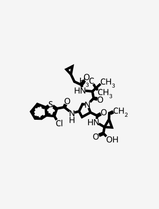 C=CC1CC1(NC(=O)C1CC(NC(=O)c2sc3ccccc3c2Cl)CN1C(=O)C(NC(=O)CC1CC1)C(C)(C)C)C(=O)O